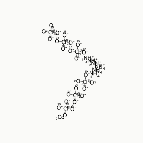 [Co].[NH4+].[NH4+].[NH4+].[NH4+].[NH4+].[NH4+].[O-][Cl+3]([O-])([O-])[O-].[O-][Cl+3]([O-])([O-])[O-].[O-][Cl+3]([O-])([O-])[O-].[O-][Cl+3]([O-])([O-])[O-].[O-][Cl+3]([O-])([O-])[O-].[O-][Cl+3]([O-])([O-])[O-]